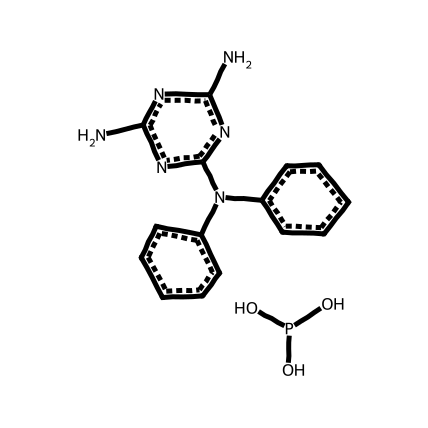 Nc1nc(N)nc(N(c2ccccc2)c2ccccc2)n1.OP(O)O